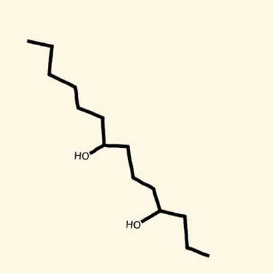 CCCCCCC(O)CCCC(O)CCC